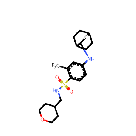 O=S(=O)(NCC1CCOCC1)c1ccc(NC2CC3CCC2CC3)cc1C(F)(F)F